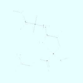 CCC(C)(CC(C)C(=O)NC(C)(C)C(=O)SC)C(=O)OCC(C)O